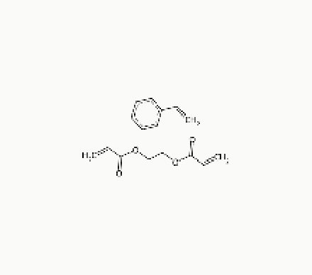 C=CC(=O)OCCOC(=O)C=C.C=Cc1ccccc1